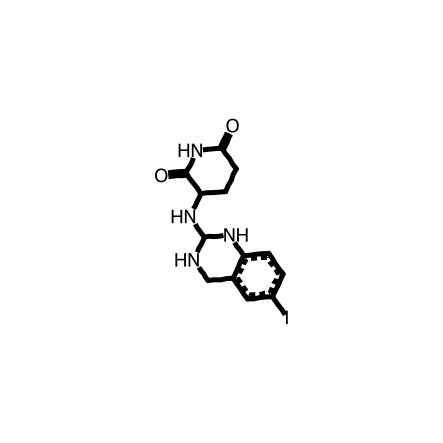 O=C1CCC(NC2NCc3cc(I)ccc3N2)C(=O)N1